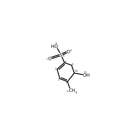 CC1=CC=C(S(=O)(=O)O)CC1O